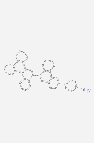 N#Cc1ccc(-c2ccc3cc(-c4cc5c6ccccc6c6ccccc6c5c5ccccc45)c4ccccc4c3c2)cc1